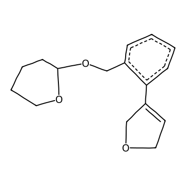 C1=C(c2ccccc2COC2CCCCO2)COC1